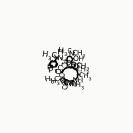 CC[C@@H]1OC(=O)C(C)C(=O)[C@H](C)[C@@H](O[C@@H]2O[C@H](CN[C@H](C)c3ccc(F)cc3)CC(N(C)C)C2O)[C@](C)(OC)C[C@@H](C)CN[C@H](C)[C@H]2NC(=O)O[C@]12C